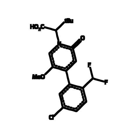 COc1cn(C(C(=O)O)C(C)(C)C)c(=O)cc1-c1cc(Cl)ccc1C(F)F